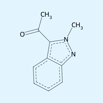 CC(=O)c1c2ccccc2nn1C